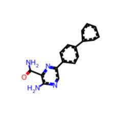 NC(=O)c1nc(-c2ccc(-c3ccccc3)cc2)cnc1N